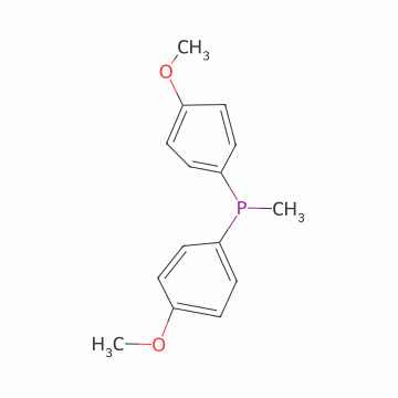 COc1ccc(P(C)c2ccc(OC)cc2)cc1